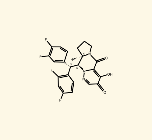 O=C1c2c(O)c(=O)cnn2[C@@H]([C@@H](c2ccc(F)c(F)c2)c2ccc(F)cc2F)[C@H]2CCCN12